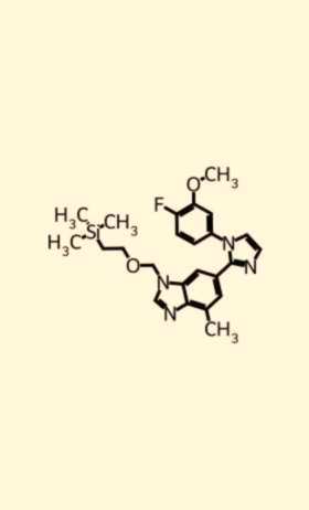 COc1cc(-n2ccnc2-c2cc(C)c3ncn(COCC[Si](C)(C)C)c3c2)ccc1F